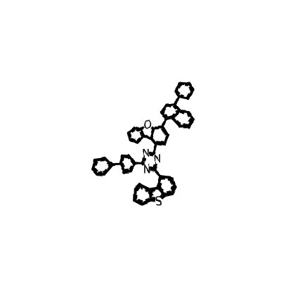 C1=C(c2ccc(-c3ccccc3)c3ccccc23)C2Oc3ccccc3C2C(c2nc(-c3ccc(-c4ccccc4)cc3)nc(-c3cccc4sc5ccccc5c34)n2)=C1